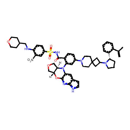 C=C(C)c1ccccc1[C@@H]1CCCN1C1CC2(CCN(c3ccc(C(=O)NS(=O)(=O)c4ccc(NCC5CCOCC5)c([N+](=O)[O-])c4)c(N4c5cc6cc[nH]c6nc5O[C@@H]5COC[C@H]54)c3)CC2)C1